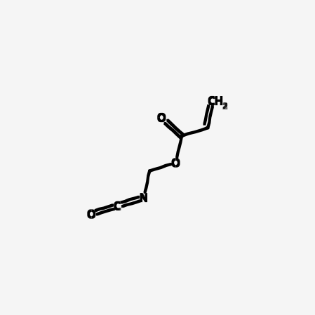 C=CC(=O)OCN=C=O